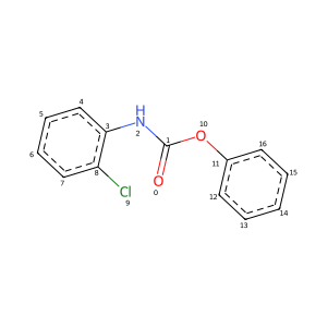 O=C(Nc1ccccc1Cl)Oc1ccccc1